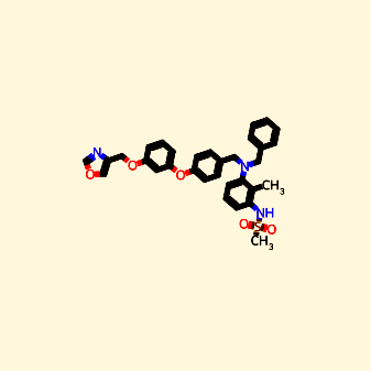 Cc1c(NS(C)(=O)=O)cccc1N(Cc1ccccc1)Cc1ccc(Oc2cccc(OCc3cocn3)c2)cc1